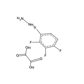 Fc1ccc(F)c(F)c1F.NN.O=C(O)C(=O)O